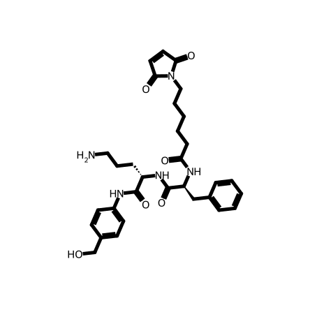 NCCC[C@H](NC(=O)[C@H](Cc1ccccc1)NC(=O)CCCCCN1C(=O)C=CC1=O)C(=O)Nc1ccc(CO)cc1